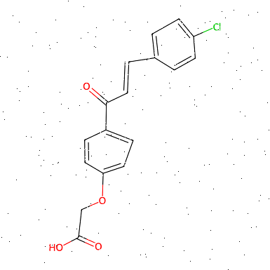 O=C(O)COc1ccc(C(=O)C=Cc2ccc(Cl)cc2)cc1